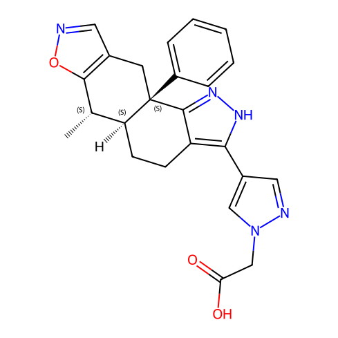 C[C@@H]1c2oncc2C[C@]2(c3ccccc3)c3n[nH]c(-c4cnn(CC(=O)O)c4)c3CC[C@@H]12